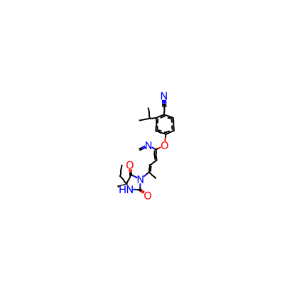 C=N/C(=C\C=C(/C)N1C(=O)N[C@](C)(CC)C1=O)Oc1ccc(C#N)c(C(C)C)c1